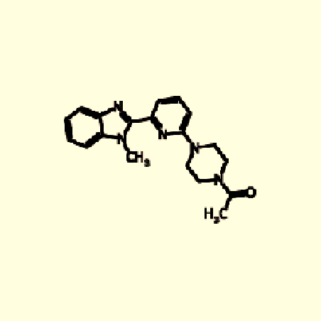 CC(=O)N1CCN(c2cccc(-c3nc4ccccc4n3C)n2)CC1